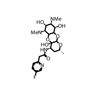 CN[C@@H]1[C@H](O)[C@H](NC)C2O[C@]3(O)C(OC2[C@@H]1O)O[C@H](C)C[C@H]3NC(=O)Cc1ccc(F)cn1